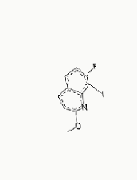 COc1ccc2ccc(F)c(I)c2n1